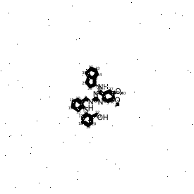 COc1cc2nc(NCc3ccccc3Sc3ccccc3CO)nc(N[C@@H]3CCc4ccccc43)c2cc1OC